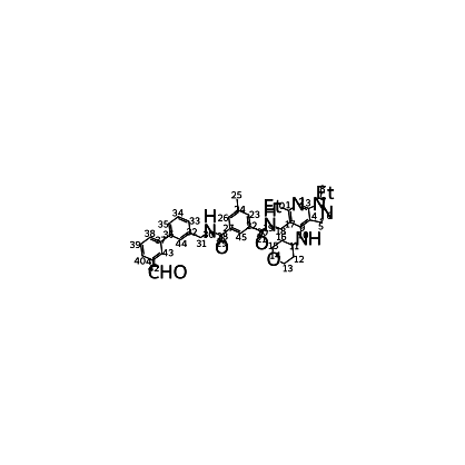 CCc1nc2c(cnn2CC)c(NC2CCOCC2)c1CNC(=O)c1cc(C)cc(C(=O)NCc2cccc(-c3cccc(C=O)c3)c2)c1